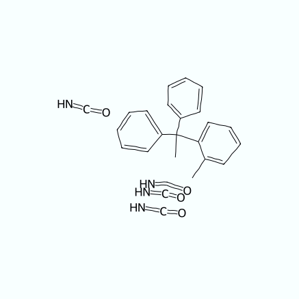 Cc1ccccc1C(C)(c1ccccc1)c1ccccc1.N=C=O.N=C=O.N=C=O.N=C=O